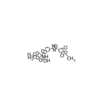 CCCOc1c(Cl)cc(-c2nc(-c3ccc4oc(C5(NC(=O)O)COC(C)(C)OC5)cc4c3)no2)cc1Cl